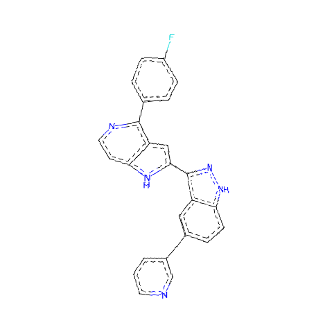 Fc1ccc(-c2nccc3[nH]c(-c4n[nH]c5ccc(-c6cccnc6)cc45)cc23)cc1